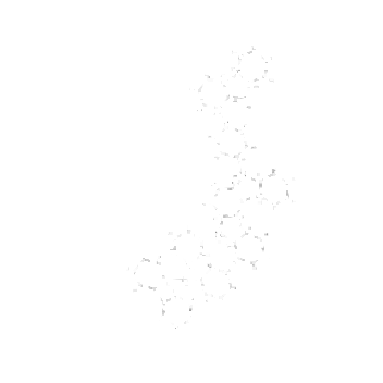 c1ccc2c(c1)-c1ccccc1C21c2ccccc2-c2ccc(-n3c4ccccc4c4c5c6ccccc6n(-c6ccc(-c7cccc8c7sc7ccccc78)cc6)c5ccc43)cc21